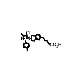 Cc1ccc(-n2nc(C)c(Cl)c2N2CCc3cc(CCCCC(=O)O)ccc3C2)cc1